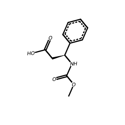 COC(=O)N[C@@H](CC(=O)O)c1ccccc1